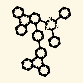 c1ccc(-c2nc(-c3ccccc3)nc(-c3ccc4c5ccccc5c5ccccc5c4c3-c3ccc(-c4ccc5c6ccccc6c6ccccc6c5c4)cc3)n2)cc1